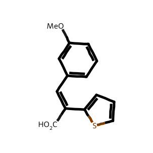 COc1cccc(/C=C(/C(=O)O)c2cccs2)c1